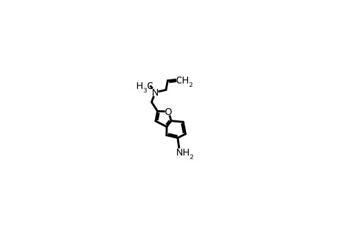 C=CCN(C)Cc1cc2cc(N)ccc2o1